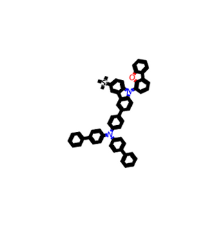 C[Si](C)(C)c1ccc2c(c1)c1cc(-c3ccc(N(c4ccc(-c5ccccc5)cc4)c4ccc(-c5ccccc5)cc4)cc3)ccc1n2-c1cccc2c1oc1ccccc12